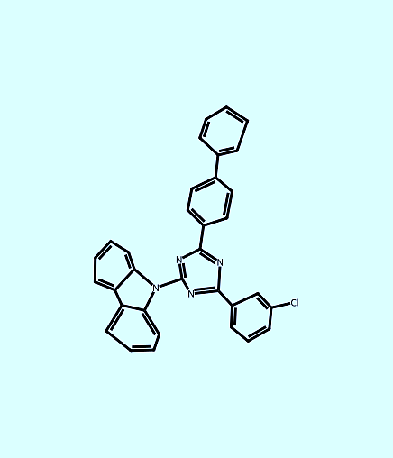 Clc1cccc(-c2nc(-c3ccc(-c4ccccc4)cc3)nc(-n3c4ccccc4c4ccccc43)n2)c1